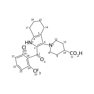 O=C(c1[nH]c2c(c1N1CCC(C(=O)O)CC1)CCCC2)c1c(Cl)cccc1C(F)(F)F